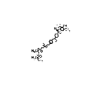 C=C(C)C(=O)OCC(C)OC(=O)CCC(=O)OCCc1ccc(OC(=O)C2CCC(C(=O)Oc3cc(C)c(C)c(C)c3C)CC2)cc1